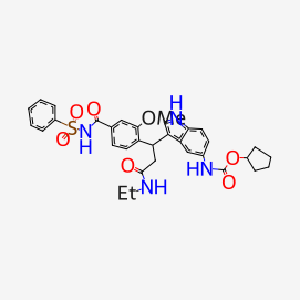 CCNC(=O)CC(c1ccc(C(=O)NS(=O)(=O)c2ccccc2)cc1OC)c1c[nH]c2ccc(NC(=O)OC3CCCC3)cc12